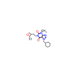 CCC1OCC1CCn1c(=O)c2c(ncn2CC2CCCCC2)n(C)c1=O